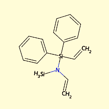 C=CN([SiH3])[Si](C=C)(c1ccccc1)c1ccccc1